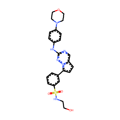 O=S(=O)(NCCO)c1cccc(-c2ccc3cnc(Nc4ccc(N5CCOCC5)cc4)nn23)c1